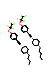 CCCCC[C@H]1CC[C@H](C#Cc2ccc(OC(F)(F)C(F)F)cc2)CC1.CCCC[C@H]1CC[C@H](C#Cc2ccc(OC(F)(F)C(F)F)cc2)CC1